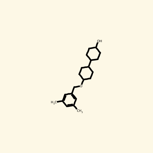 Cc1cc(C)cc(COC2CCC(C3CCC(O)CC3)CC2)c1